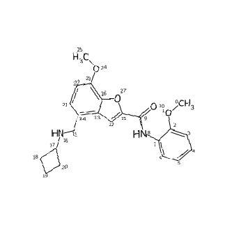 COc1ccccc1NC(=O)c1cc2c(CNC3CCC3)ccc(OC)c2o1